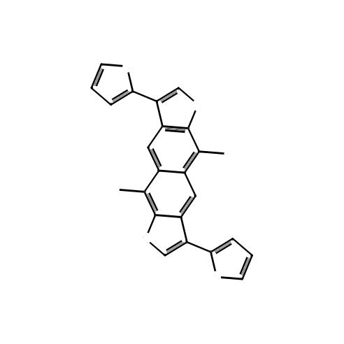 Cc1c2cc3c(-c4cccs4)csc3c(C)c2cc2c(-c3cccs3)csc12